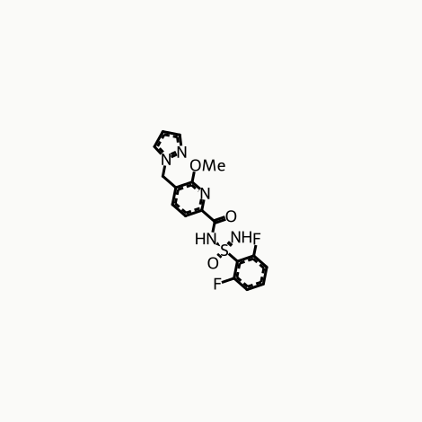 COc1nc(C(=O)N[S@](=N)(=O)c2c(F)cccc2F)ccc1Cn1cccn1